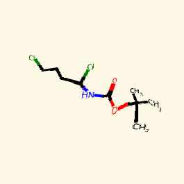 CC(C)(C)OC(=O)NC(Cl)CCCCl